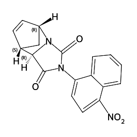 O=C1[C@H]2[C@@H]3C=C[C@@H](C3)N2C(=O)N1c1ccc([N+](=O)[O-])c2ccccc12